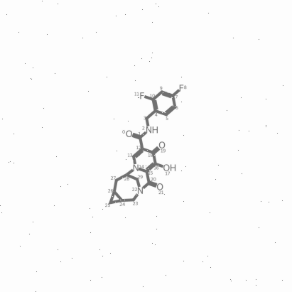 O=C(NCc1ccc(F)cc1F)c1cn2c(c(O)c1=O)C(=O)N1CC3CC3CC2C1